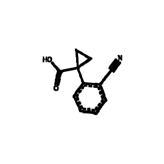 N#Cc1ccccc1C1(C(=O)O)CC1